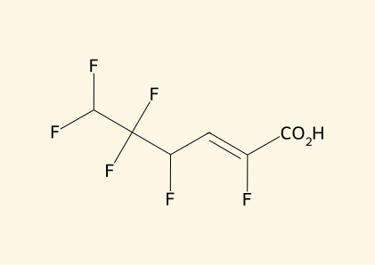 O=C(O)C(F)=CC(F)C(F)(F)C(F)F